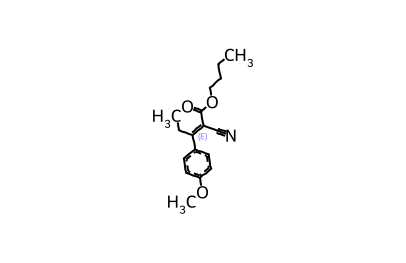 CCCCOC(=O)/C(C#N)=C(\CC)c1ccc(OC)cc1